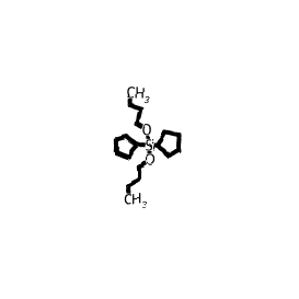 CCCCO[Si](OCCCC)(C1CCCC1)C1CCCC1